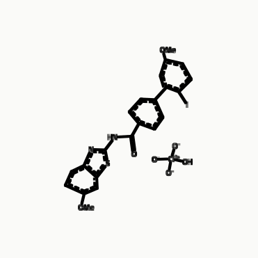 COc1ccc(I)c(-c2ccc(C(=O)Nc3nc4ccc(OC)cc4s3)cc2)c1.[O-][Cl+3]([O-])([O-])O